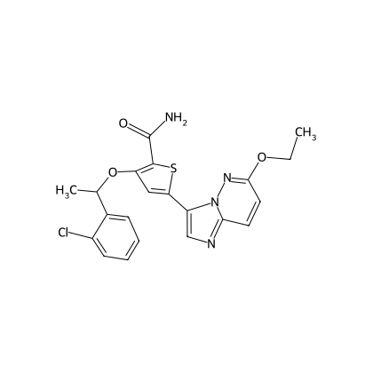 CCOc1ccc2ncc(-c3cc(OC(C)c4ccccc4Cl)c(C(N)=O)s3)n2n1